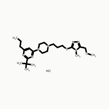 CCCc1cc(N2CCN(CCCSc3nnc(COC)n3C)CC2)nc(C(C)(C)C)n1.Cl